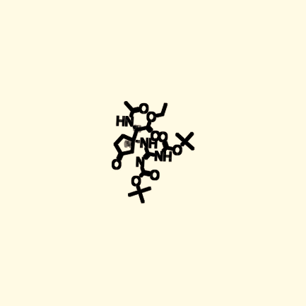 CCOC(=O)[C@@H](NC(C)=O)[C@]1(NC(=NC(=O)OC(C)(C)C)NC(=O)OC(C)(C)C)CCC(=O)C1